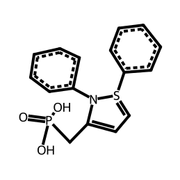 O=P(O)(O)CC1=CC=S(c2ccccc2)N1c1ccccc1